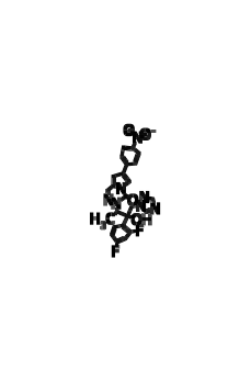 C[C@@H](n1ncc2cc(-c3ccc([N+](=O)[O-])cc3)cn2c1=O)C(O)(Cn1cncn1)c1ccc(F)cc1F